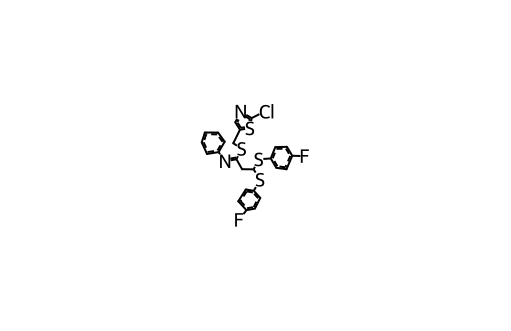 Fc1ccc(SC(CC(=Nc2ccccc2)SCc2cnc(Cl)s2)Sc2ccc(F)cc2)cc1